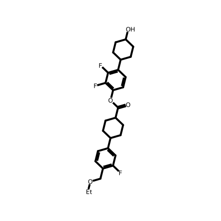 CCOCc1ccc(C2CCC(C(=O)Oc3ccc(C4CCC(O)CC4)c(F)c3F)CC2)cc1F